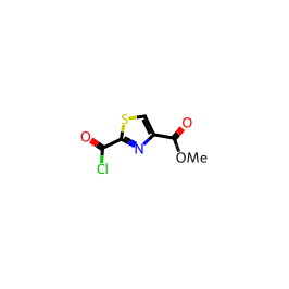 COC(=O)c1csc(C(=O)Cl)n1